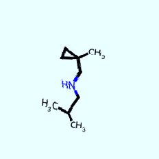 CC(C)CNCC1(C)CC1